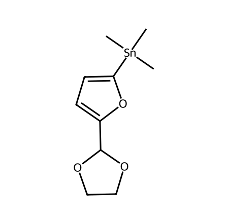 [CH3][Sn]([CH3])([CH3])[c]1ccc(C2OCCO2)o1